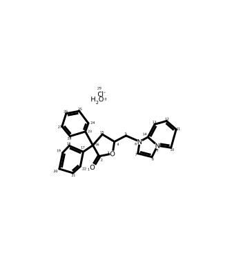 O.O=C1OC(Cn2cc[n+]3ccccc23)CC1(c1ccccc1)c1ccccc1.[Cl-]